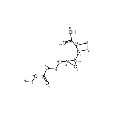 CCOC(=O)OCOn1on1N1CCC1C(=O)O